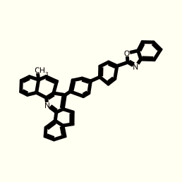 CC12C=CC=CC1c1nc3c(ccc4ccccc43)c(-c3ccc(-c4ccc(-c5nc6ccccc6o5)cc4)cc3)c1C=C2